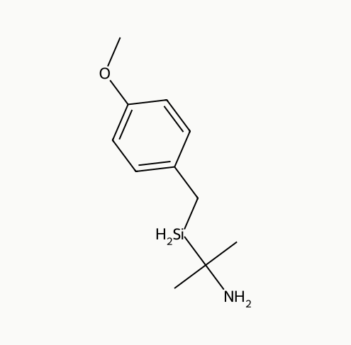 COc1ccc(C[SiH2]C(C)(C)N)cc1